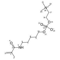 C=C(C)C(=O)NCCCCCOP(=O)([O-])OCC[N+](C)(C)C